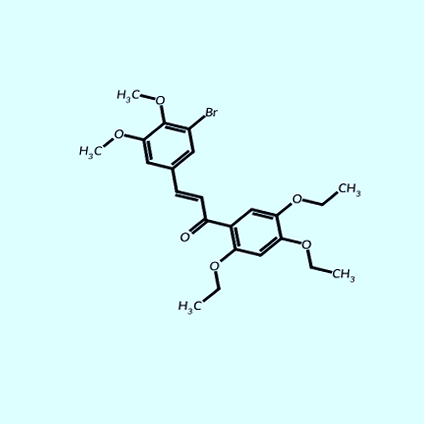 CCOc1cc(OCC)c(C(=O)/C=C/c2cc(Br)c(OC)c(OC)c2)cc1OCC